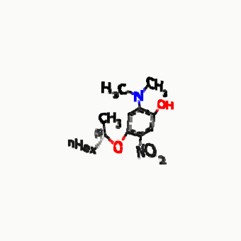 CCCCCC[C@H](C)Oc1cc(N(C)C)c(O)cc1[N+](=O)[O-]